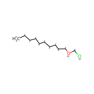 CCCCCCCCCCOCCl